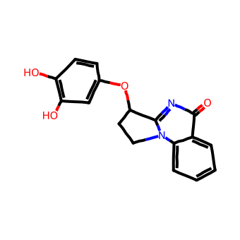 O=c1nc2n(c3ccccc13)CCC2Oc1ccc(O)c(O)c1